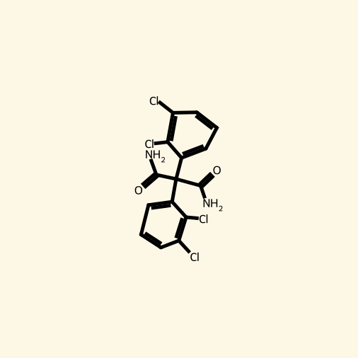 NC(=O)C(C(N)=O)(c1cccc(Cl)c1Cl)c1cccc(Cl)c1Cl